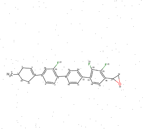 CC1CC=C(c2ccc(-c3ccc(-c4ccc(C5CO5)c(F)c4F)cc3)c(F)c2)CC1